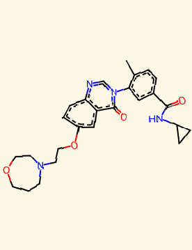 Cc1ccc(C(=O)NC2CC2)cc1-n1cnc2ccc(OCCN3CCCOCC3)cc2c1=O